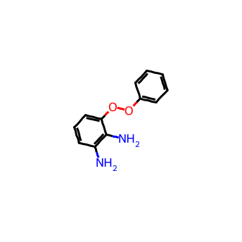 Nc1cccc(OOc2ccccc2)c1N